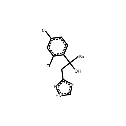 CCCCC(O)(Cc1nc[nH]n1)c1ccc(Cl)cc1Cl